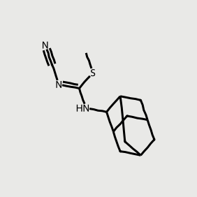 CSC(=NC#N)NC1C2CC3CC(C2)CC1C3